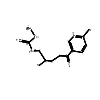 Cc1ccc(C(=O)CCC(C)CNC(=O)OC(C)(C)C)cn1